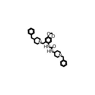 O=C(Nc1cc2c(cc1CN1CCC(Cc3ccccc3)CC1)OCO2)NC1CCN(Cc2ccccc2)CC1